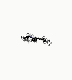 C=C[C@@](O)(C/C=C/[C@@H]1[C@H]2CC(CCCCC(=O)N(C)C)=C[C@H]2C[C@H]1O)CCCC